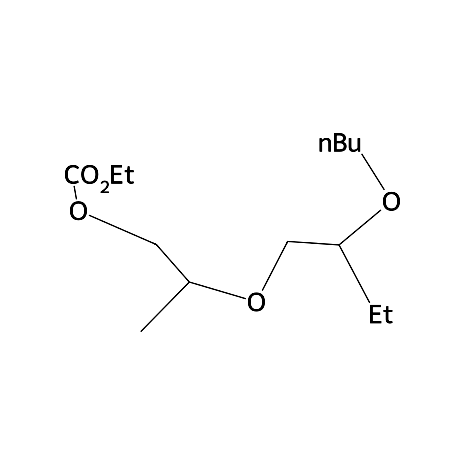 CCCCOC(CC)COC(C)COC(=O)OCC